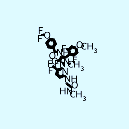 CNC(=O)CNc1ccc(C(F)(F)F)c(-n2c(=O)c(NC(=O)c3ccc(OC(F)F)cc3)c(-c3c(F)cc(OC)cc3F)n2C)n1